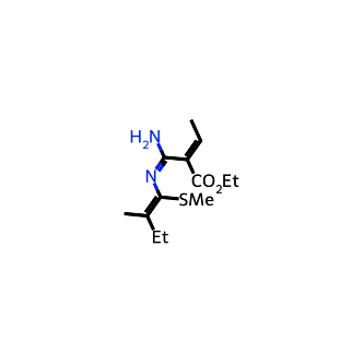 C\C=C(C(=O)OCC)/C(N)=N\C(SC)=C(/C)CC